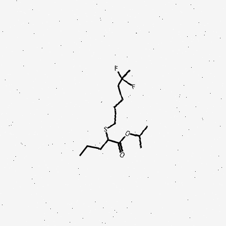 CCCC(SCCCCC(C)(F)F)C(=O)OC(C)C